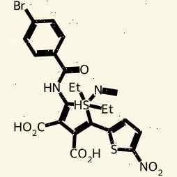 C=N[SH]1(CC)(CC)C(NC(=O)c2ccc(Br)cc2)=C(C(=O)O)C(C(=O)O)=C1c1ccc([N+](=O)[O-])s1